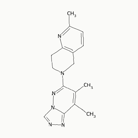 Cc1ccc2c(n1)CCN(c1nn3cnnc3c(C)c1C)C2